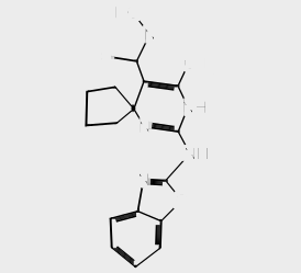 CNC(O)C1=C(C)NC(Nc2nc3ccccc3o2)=NC12CCCC2